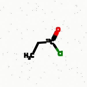 CC[13C](=O)Cl